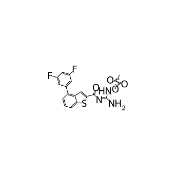 CS(=O)(=O)ONC(N)=NC(=O)c1cc2c(-c3cc(F)cc(F)c3)cccc2s1